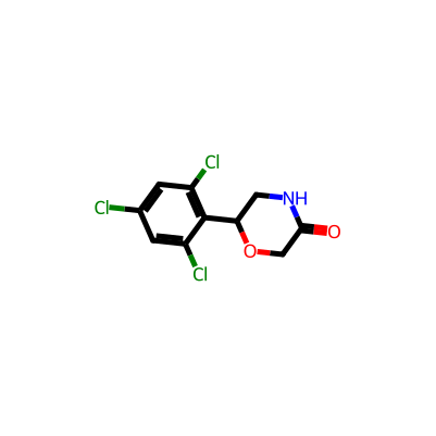 O=C1COC(c2c(Cl)cc(Cl)cc2Cl)CN1